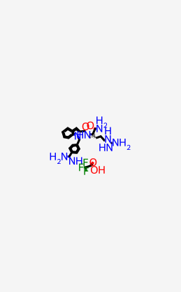 N=C(N)NCCC[C@H](NC(=O)c1cc2ccccc2n1Cc1ccc(C(=N)N)cc1)C(N)=O.O=C(O)C(F)(F)F